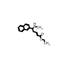 CCOC(=O)C=CCC(NC)c1ccc2ccccc2c1